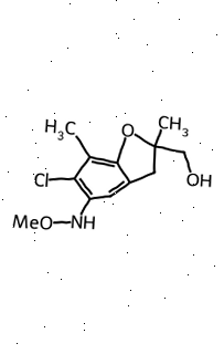 CONc1cc2c(c(C)c1Cl)OC(C)(CO)C2